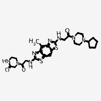 Cc1c2nc(NCC(=O)N3CCN(C4CCCC4)CC3)sc2cc2sc(NCC(=O)N3CCNC(=O)C3)nc12